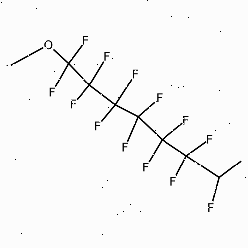 [CH2]OC(F)(F)C(F)(F)C(F)(F)C(F)(F)C(F)(F)C(F)(F)C(C)F